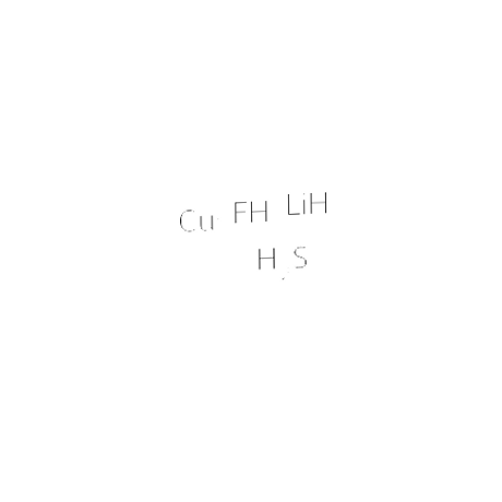 F.S.[Cu].[LiH]